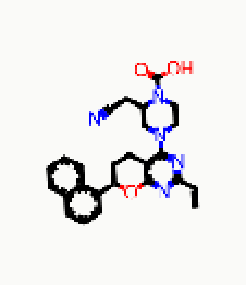 C=Cc1nc2c(c(N3CCN(C(=O)O)C(CC#N)C3)n1)CCC(c1cccc3ccccc13)O2